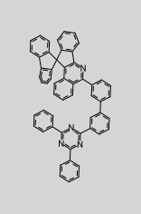 c1ccc(-c2nc(-c3ccccc3)nc(-c3cccc(-c4cccc(-c5nc6c(c7ccccc57)C5(c7ccccc7-c7ccccc75)c5ccccc5-6)c4)c3)n2)cc1